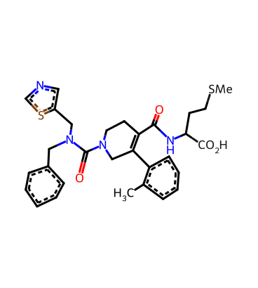 CSCCC(NC(=O)C1=C(c2ccccc2C)CN(C(=O)N(Cc2ccccc2)Cc2cncs2)CC1)C(=O)O